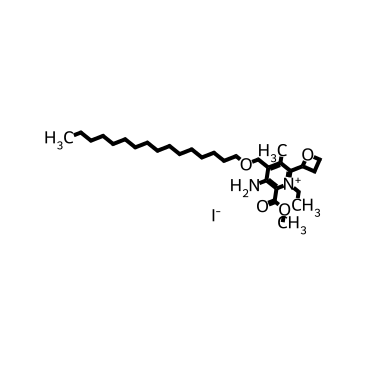 CCCCCCCCCCCCCCCCOCc1c(C)c(C2CCO2)[n+](CC)c(C(=O)OC)c1N.[I-]